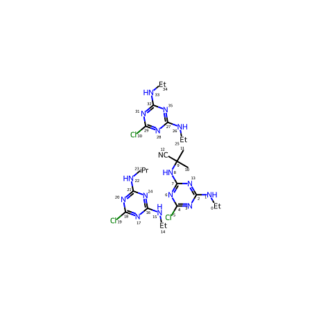 CCNc1nc(Cl)nc(NC(C)(C)C#N)n1.CCNc1nc(Cl)nc(NC(C)C)n1.CCNc1nc(Cl)nc(NCC)n1